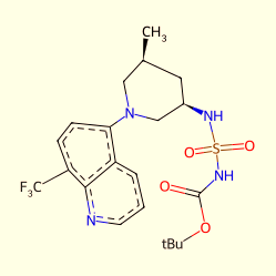 C[C@H]1C[C@@H](NS(=O)(=O)NC(=O)OC(C)(C)C)CN(c2ccc(C(F)(F)F)c3ncccc23)C1